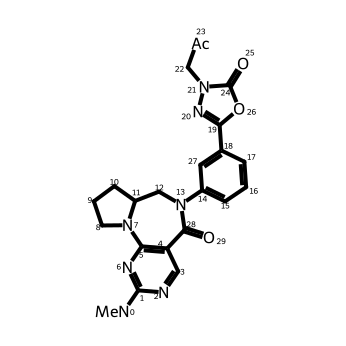 CNc1ncc2c(n1)N1CCCC1CN(c1cccc(-c3nn(CC(C)=O)c(=O)o3)c1)C2=O